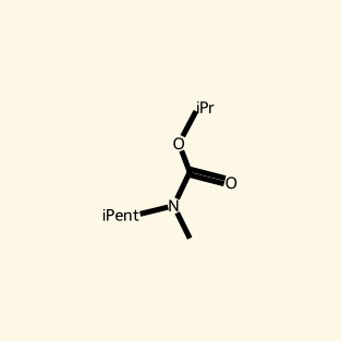 CCCC(C)N(C)C(=O)OC(C)C